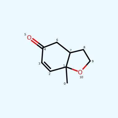 CC12C=CC(=O)CC1CCO2